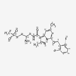 Cc1cc(OCc2c(F)cccc2F)n2nc(C)c(C(=O)NCC(N)CCS(C)(=O)=O)c2c1